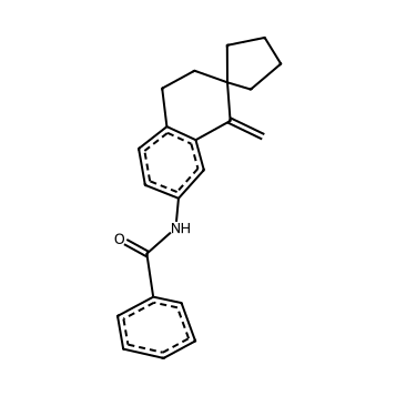 C=C1c2cc(NC(=O)c3ccccc3)ccc2CCC12CCCC2